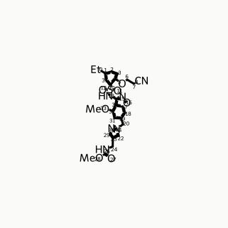 CCc1ccc(OCCC#N)c(S(=O)(=O)Nc2noc3cc(Cn4cc(CNC(=O)OC)cn4)cc(OC)c23)c1